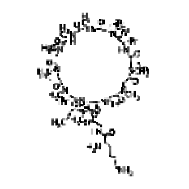 C/C=C/C[C@@H](C)[C@@H](OC(=O)CNC(=O)[C@@H](N)CCCCN)[C@H]1C(=O)N[C@@H](CC)C(=O)N(C)CC(=O)N(C)[C@@H](CC(C)C)C(=O)N[C@@H](C(C)C)C(=O)N(C)[C@@H](CC(C)C)C(=O)N[C@@H](C)C(=O)N[C@H](C)C(=O)N(C)[C@@H](CC(C)C)C(=O)N(C)[C@@H](CC(C)C)C(=O)N(C)[C@@H](C(C)C)C(=O)N1C